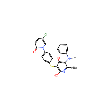 CCCCc1nc(O)c(Sc2ccc(-n3cc(Cl)ccc3=O)cc2)c(O)c1N(CC)c1ccccc1